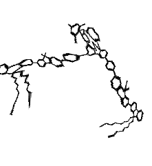 CCCCCCCCC1(CCCCCCCC)c2ccccc2-c2ccc(-c3ccc4c(c3)C(C)(C)c3cc(-c5ccc(-c6ccc7c(c6)c6cc(-c8ccc(-c9ccc%10c(c9)C(C)(C)c9cc(-c%11ccc%12c(c%11)C(CCCCCCCC)(CCCCCCCC)c%11ccccc%11-%12)ccc9-%10)cc8)cc8c6n7-c6ccccc6B8c6c(C)cc(C)cc6C)cc5)ccc3-4)cc21